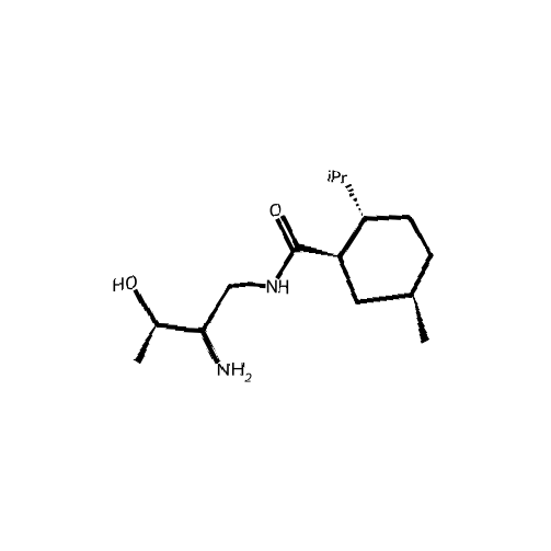 CC(C)[C@@H]1CC[C@@H](C)C[C@H]1C(=O)NCC(N)[C@@H](C)O